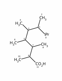 CC(C)C(C)C(C)C(C)C(C)C(C)C(=O)O